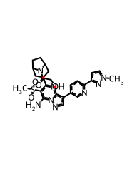 Cn1ccc(-c2ccc(-c3cnn4c(N)c(S(C)(=O)=O)c(C5CC6CCC(C5)N6C(=O)CO)nc34)cn2)n1